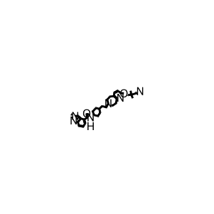 Cn1cc2c(C(=O)NC3CCC(CCN4CCc5ccc(OCC(C)(C)C#N)nc5CC4)CC3)cccc2n1